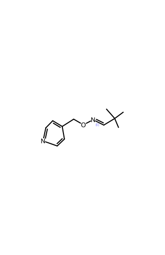 CC(C)(C)/C=N/OCc1ccncc1